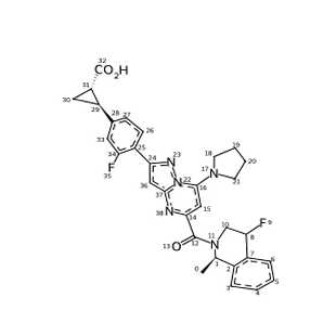 C[C@@H]1c2ccccc2C(F)CN1C(=O)c1cc(N2CCCC2)n2nc(-c3ccc([C@H]4C[C@@H]4C(=O)O)cc3F)cc2n1